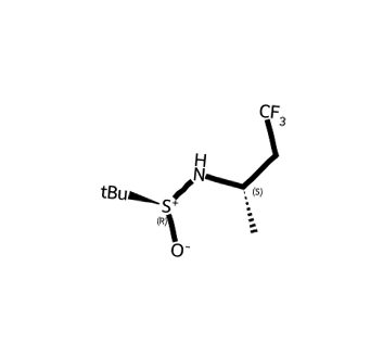 C[C@@H](CC(F)(F)F)N[S@@+]([O-])C(C)(C)C